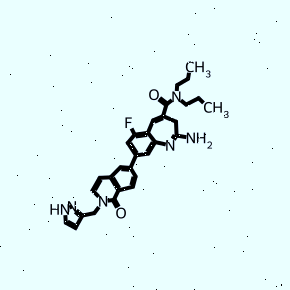 CCCN(CCC)C(=O)C1=Cc2c(F)cc(-c3ccc4c(=O)n(Cc5cc[nH]n5)ccc4c3)cc2N=C(N)C1